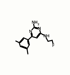 Cc1cc(C)cc(-c2cc(NCCF)nc(N)n2)c1